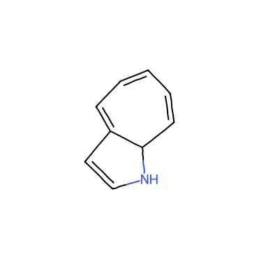 C1=CC=C2C=CNC2C=C1